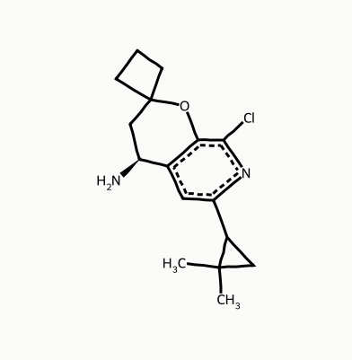 CC1(C)CC1c1cc2c(c(Cl)n1)OC1(CCC1)C[C@@H]2N